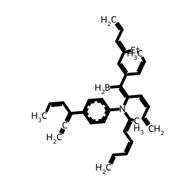 BC(=C(/C=C\C=C)N(/C(C)=C/C=C\C=C)c1ccc(C(=C=C)/C=C\C)cc1)C(/C=C\C)=C/C(=C/C=C)CC